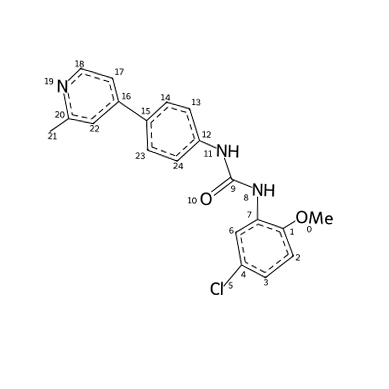 COc1ccc(Cl)cc1NC(=O)Nc1ccc(-c2ccnc(C)c2)cc1